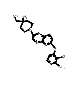 Nc1nccc(Sc2ccc3nc(N4CCC(N)(CO)CC4)cnc3n2)c1Cl